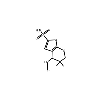 CCNC1c2cc(S(N)(=O)=O)oc2SCC1(C)C